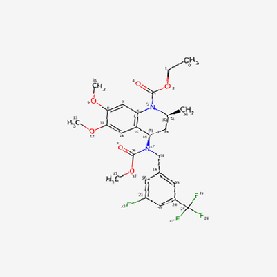 CCOC(=O)N1c2cc(OC)c(OC)cc2[C@H](N(Cc2cc(F)cc(C(F)(F)F)c2)C(=O)OC)C[C@@H]1C